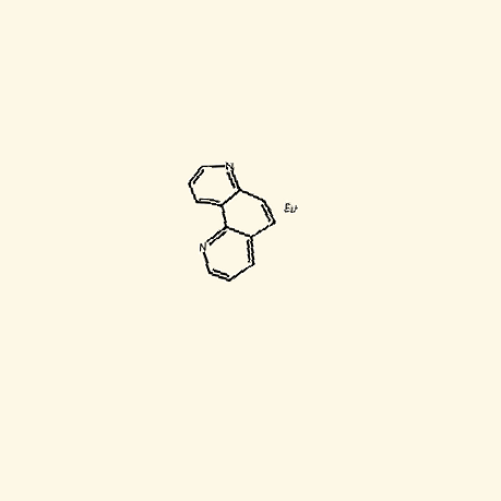 [Eu].c1cnc2c(c1)ccc1ncccc12